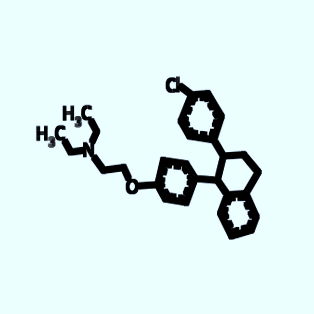 CCN(CC)CCOc1ccc(C2c3ccccc3CCC2c2ccc(Cl)cc2)cc1